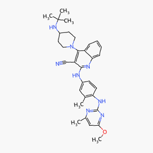 COc1cc(C)nc(Nc2ccc(Nc3nc4ccccc4c(N4CCC(NC(C)(C)C)CC4)c3C#N)cc2C)n1